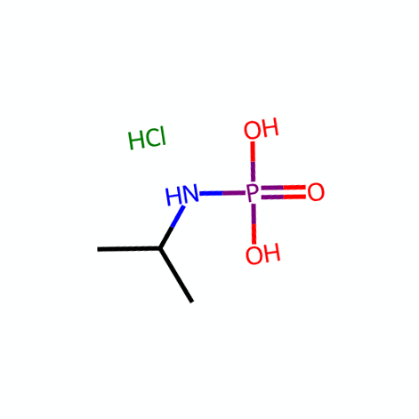 CC(C)NP(=O)(O)O.Cl